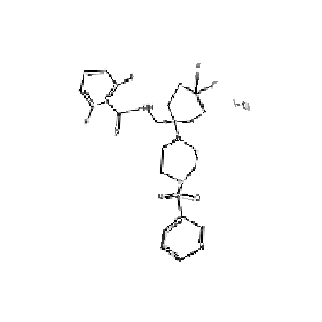 Cl.O=C(NCC1(N2CCN(S(=O)(=O)c3cccnc3)CC2)CCC(F)(F)CC1)c1c(F)cccc1F